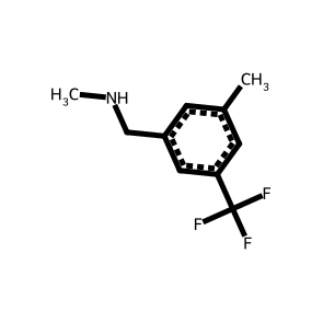 CNCc1cc(C)cc(C(F)(F)F)c1